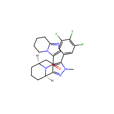 Cn1nc2c(c1-c1cc(F)c(F)c(F)c1)C[C@@H]1CCC[C@H]2N1C(=O)c1cnc2n1CCCC2